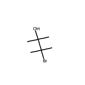 CC(C)(O)C(C)(C)Br